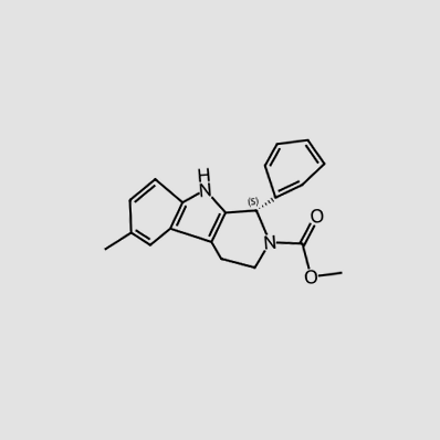 COC(=O)N1CCc2c([nH]c3ccc(C)cc23)[C@@H]1c1ccccc1